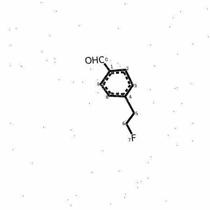 O=Cc1ccc(CCF)cc1